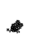 CC(C)P(Cc1ccc2ccccc2c1-c1c(CP(c2ccccc2)c2ccccc2)ccc2ccccc12)C(C)C